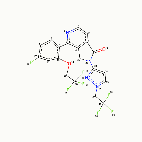 O=C1c2ccnc(-c3ccc(F)cc3OCC(F)(F)F)c2CN1c1ccn(CC(F)(F)F)n1